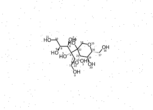 OC[C@@H](O)[C@@](O)([C@H](O)[C@@H](O)CO)C1(O)CO[C@H](CO)[C@@H](O)[C@@H]1O